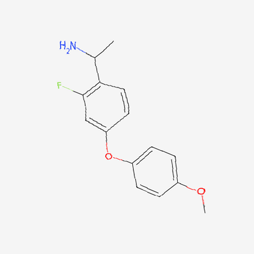 COc1ccc(Oc2ccc(C(C)N)c(F)c2)cc1